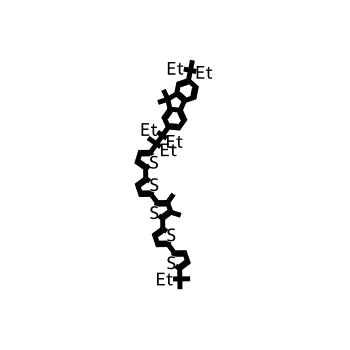 CCC(C)(C)c1ccc(-c2ccc(-c3sc(-c4ccc(-c5ccc(C(C)(CC)C(CC)(CC)c6ccc7c(c6)C(C)(C)c6cc(C(C)(CC)CC)ccc6-7)s5)s4)c(C)c3C)s2)s1